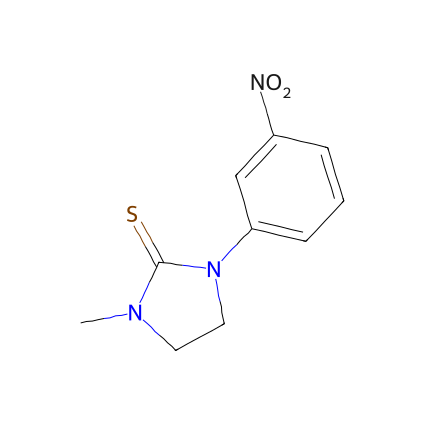 CN1CCN(c2cccc([N+](=O)[O-])c2)C1=S